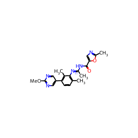 COc1ncc(-c2ccc(C)c(/N=C(\C)NC(=O)c3cnc(C)o3)c2C)cn1